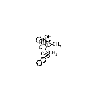 CC(C)C[C@@H](CN(C)S(=O)(=O)c1ccc2ccccc2c1)[C@H](C(=O)NO)C(=O)N1CCCCC1